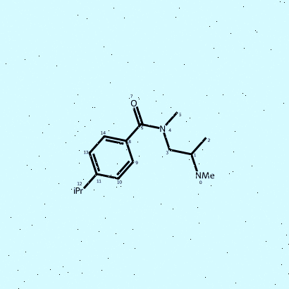 CNC(C)CN(C)C(=O)c1ccc(C(C)C)cc1